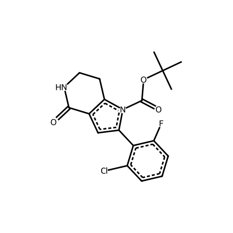 CC(C)(C)OC(=O)n1c(-c2c(F)cccc2Cl)cc2c1CCNC2=O